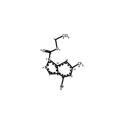 O=C(OCC(Cl)(Cl)Cl)n1ncc2c(Br)cc(C(F)(F)F)cc21